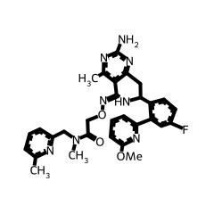 COc1cccc(-c2cc(F)ccc2C2Cc3nc(N)nc(C)c3/C(=N/OCC(=O)N(C)Cc3cccc(C)n3)N2)n1